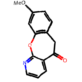 COc1ccc2c(c1)Oc1ncccc1C(=O)C2